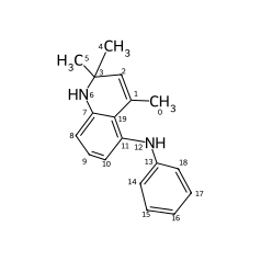 CC1=CC(C)(C)Nc2cccc(Nc3ccccc3)c21